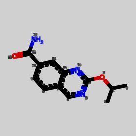 CC(C)Oc1ncc2ccc(C(N)=O)cc2n1